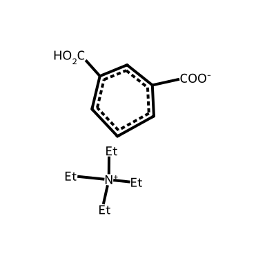 CC[N+](CC)(CC)CC.O=C([O-])c1cccc(C(=O)O)c1